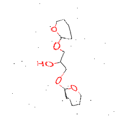 OC(COC1CCCCO1)COC1CCCCO1